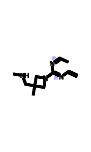 C=C/N=C(\N=C/C)N1CC(C)(CNC)C1